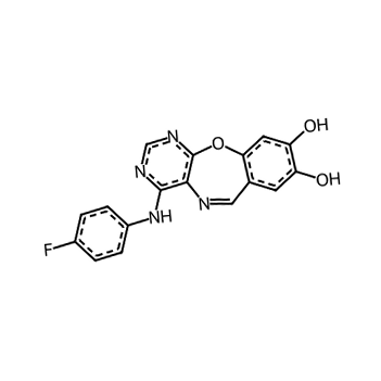 Oc1cc2c(cc1O)Oc1ncnc(Nc3ccc(F)cc3)c1N=C2